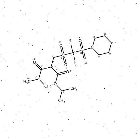 CC(C)OC(=O)C(CS(=O)(=O)C(F)(F)S(=O)(=O)N1CCCCC1)C(=O)C(C)C